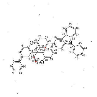 c1ccc(-c2ccc3c(c2)C2(c4ccccc4Oc4ccccc42)c2cc(-c4ccc5c(c4)c4ccccc4n5-c4ccccc4)ccc2O3)cc1